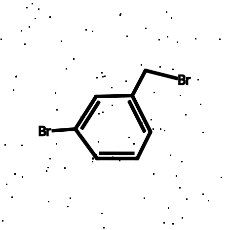 BrCc1cc[c]c(Br)c1